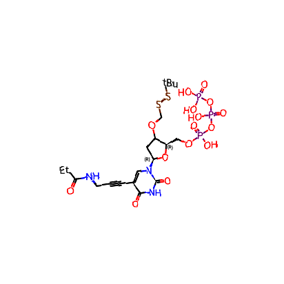 CCC(=O)NCC#Cc1cn([C@H]2CC(OCSSC(C)(C)C)[C@@H](COP(=O)(O)OP(=O)(O)OP(=O)(O)O)O2)c(=O)[nH]c1=O